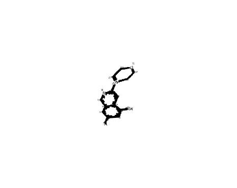 Cc1cc(Br)c2cc(N3CCOCC3)ncc2c1